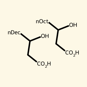 CCCCCCCCC(O)CC(=O)O.CCCCCCCCCCC(O)CC(=O)O